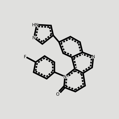 O=c1ccc2cnc3ccc(-c4cn[nH]c4)cc3c2n1-c1ccc(F)cc1